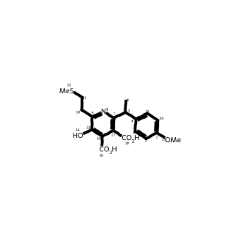 COc1ccc(C(C)c2nc(CCSC)c(O)c(C(=O)O)c2C(=O)O)cc1